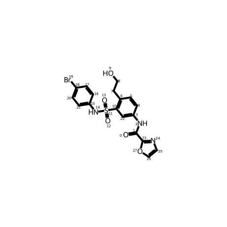 O=C(Nc1ccc(CCO)c(S(=O)(=O)Nc2ccc(Br)cc2)c1)c1ncco1